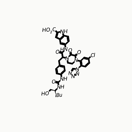 CC[C@H](C)[C@@H](CO)NC(=O)Nc1ccc(CC(C(=O)Nc2ccc3[nH]c(C(=O)O)cc3c2)N2CCN(c3cc(Cl)ccc3-n3cnnn3)C(=O)C2=O)cc1